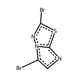 Brc1nn2c(Br)cnc2s1